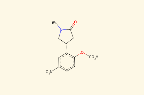 CC(C)N1C[C@@H](c2cc([N+](=O)[O-])ccc2OC(=O)O)CC1=O